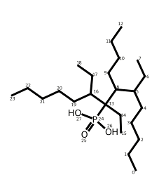 CCCCCC(CC)C(CCCC)C(CC)(C(CC)CCCCC)P(=O)(O)O